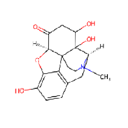 CN1CCC23c4c5ccc(O)c4O[C@H]2C(=O)CC(O)C3(O)[C@H]1C5